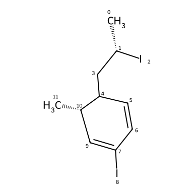 C[C@H](I)CC1C=CC(I)=C[C@@H]1C